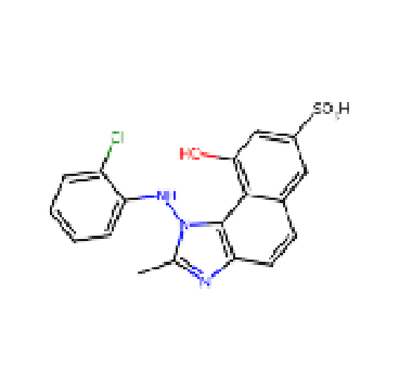 Cc1nc2ccc3cc(S(=O)(=O)O)cc(O)c3c2n1Nc1ccccc1Cl